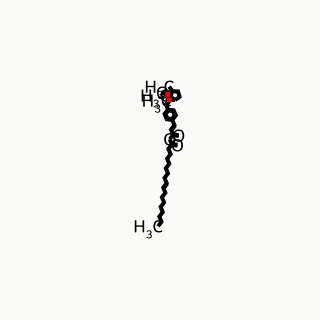 CCCCCCCCC=CCCCCCCCC(=O)OC(=O)C=Cc1ccc(C=C2C(=O)C3(C)CCC2C3(C)C)cc1